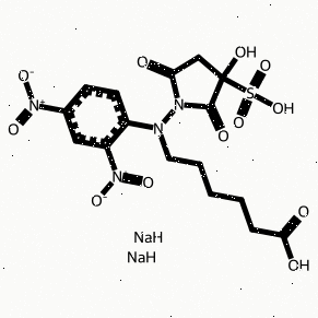 O=C(O)CCCCCN(c1ccc([N+](=O)[O-])cc1[N+](=O)[O-])N1C(=O)CC(O)(S(=O)(=O)O)C1=O.[NaH].[NaH]